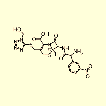 NC(C(=O)NC1C(=O)N2C(C(=O)O)=C(CSc3nnnn3CO)CS[C@@H]12)c1cccc([N+](=O)[O-])c1